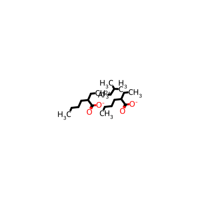 CC(C)[CH2][Al+2].CCCCC(CC)C(=O)[O-].CCCCC(CC)C(=O)[O-]